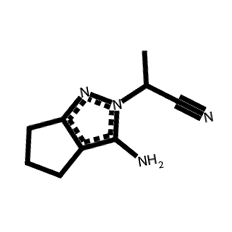 CC(C#N)n1nc2c(c1N)CCC2